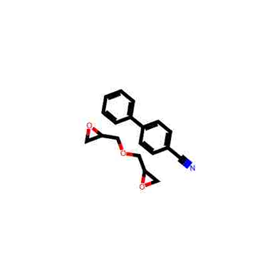 C(OCC1CO1)C1CO1.N#Cc1ccc(-c2ccccc2)cc1